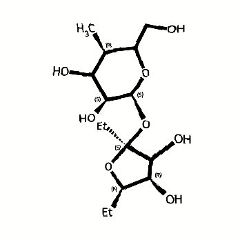 CC[C@H]1O[C@@](CC)(O[C@@H]2OC(CO)[C@H](C)C(O)[C@@H]2O)C(O)[C@H]1O